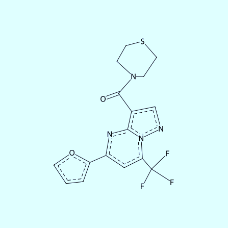 O=C(c1cnn2c(C(F)(F)F)cc(-c3ccco3)nc12)N1CCSCC1